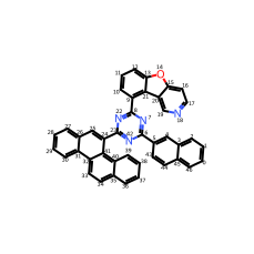 c1ccc2cc(-c3nc(-c4cccc5oc6ccncc6c45)nc(-c4cc5ccccc5c5ccc6ccccc6c45)n3)ccc2c1